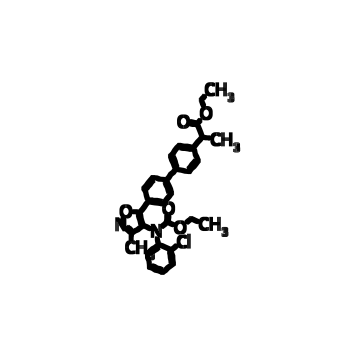 CCOC(=O)C(C)c1ccc(-c2ccc(-c3onc(C)c3N(C(=O)OCC)c3ccccc3Cl)cc2)cc1